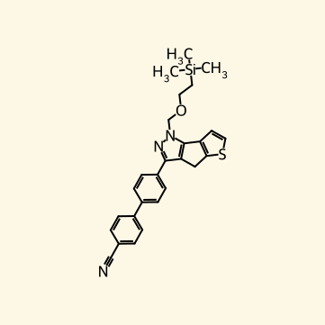 C[Si](C)(C)CCOCn1nc(-c2ccc(-c3ccc(C#N)cc3)cc2)c2c1-c1ccsc1C2